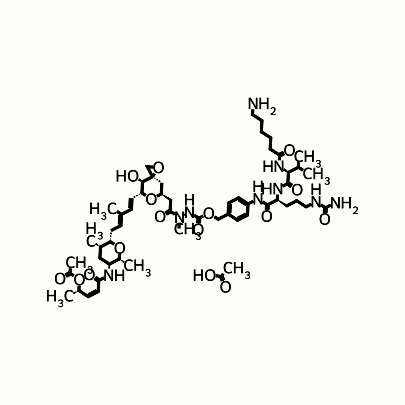 CC(=O)O.CC(=O)O[C@@H](C)/C=C\C(=O)N[C@@H]1C[C@H](C)[C@H](C/C=C(C)/C=C/[C@H]2O[C@H](CC(=O)N(C)NC(=O)OCc3ccc(NC(=O)[C@H](CCCNC(N)=O)NC(=O)[C@@H](NC(=O)CCCCCN)C(C)C)cc3)C[C@@]3(CO3)[C@@H]2O)O[C@@H]1C